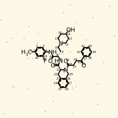 Cc1ccc(NC(=O)[C@H](CCN2CCC(O)CC2)NC(=O)[C@@H]2Cc3ccccc3CN2C(=O)CCC(=O)c2ccccc2)c(F)c1